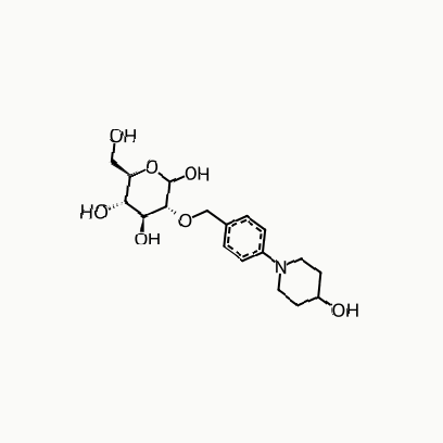 OC[C@H]1OC(O)[C@H](OCc2ccc(N3CCC(O)CC3)cc2)[C@@H](O)[C@@H]1O